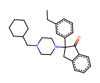 CCc1cccc(C2(N3CCN(CC4CCCCC4)CC3)Cc3ccccc3C2=O)c1